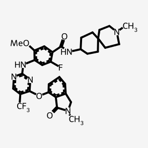 COc1cc(C(=O)NC2CCC3(CC2)CCN(C)CC3)c(F)cc1Nc1ncc(C(F)(F)F)c(Oc2cccc3c2C(=O)N(C)C3)n1